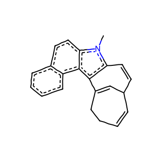 Cn1c2c(c3c4ccccc4ccc31)C1=CC(C=CCC1)C=C2